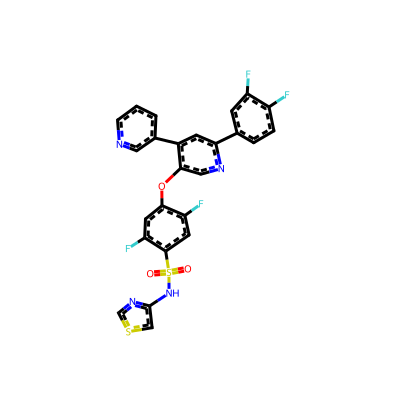 O=S(=O)(Nc1cscn1)c1cc(F)c(Oc2cnc(-c3ccc(F)c(F)c3)cc2-c2cccnc2)cc1F